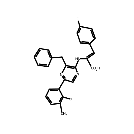 Cc1cccc(-c2cnc(N/C(=C\c3ccc(F)cc3)C(=O)O)c(Cc3ccccc3)n2)c1F